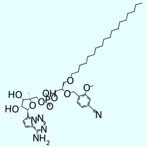 CCCCCCCCCCCCCCCCCCOC[C@H](COP(=O)(O)OC[C@@]1(C)O[C@@H](c2ccc3c(N)ncnn23)[C@H](O)[C@@H]1O)OCc1ccc(C#N)cc1OC